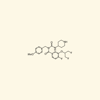 COc1ccc(CN(C(=O)NC2CCNCC2)C(=O)c2ccc(F)c(OC(CF)CF)c2)cc1